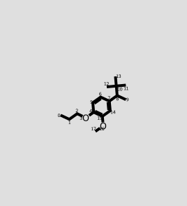 CCCOc1ccc(C(C)C(C)(C)C)cc1OC